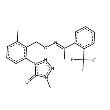 CC(=NOCc1c(C)cccc1-n1nnn(C)c1=O)c1ccccc1C(C)(F)F